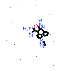 N#CC1=C(N)Oc2[nH]nc(-c3ccccc3)c2C1c1ccc(-n2ccnc2)cc1